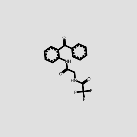 O=C(CNC(=O)C(F)(F)F)Nc1ccccc1C(=O)c1ccccc1